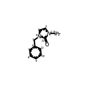 CC(C)n1ccn(Cc2ccccc2)c1=O